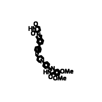 COc1cc(OC)c2c(=O)[nH]c(-c3ccc(N4CCC(CN5CC6CCC5CN6c5ccc6c(c5)CN(C5CCC(=O)NC5=O)C6)CC4)cc3)nc2c1